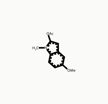 COc1ccc2c(c1)cc(OC(C)=O)n2C